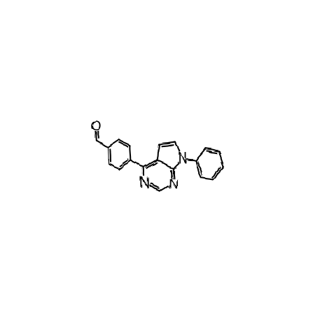 O=Cc1ccc(-c2ncnc3c2ccn3-c2ccccc2)cc1